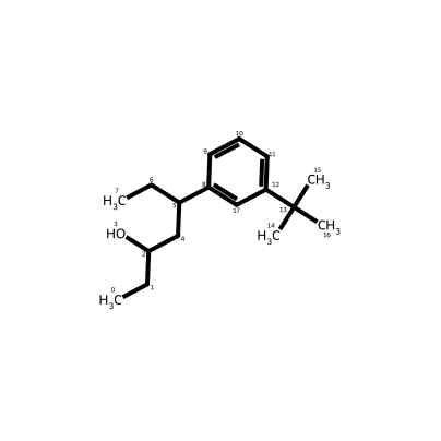 CCC(O)CC(CC)c1cccc(C(C)(C)C)c1